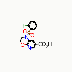 O=C(O)c1cnc2c(c1)N(S(=O)(=O)c1ccccc1F)CCO2